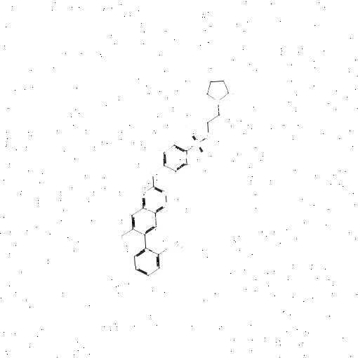 COc1ccccc1-c1cc2nnc(Nc3ccc(S(=O)(=O)NCCN4CCCC4)cc3)nc2cc1C